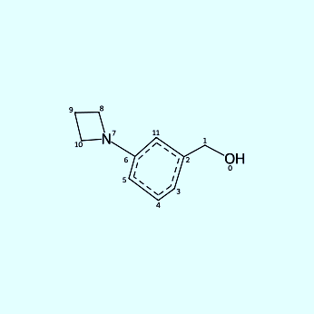 OCc1cccc(N2CCC2)c1